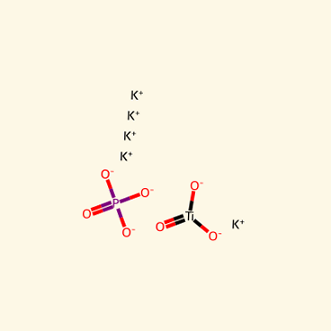 O=P([O-])([O-])[O-].[K+].[K+].[K+].[K+].[K+].[O]=[Ti]([O-])[O-]